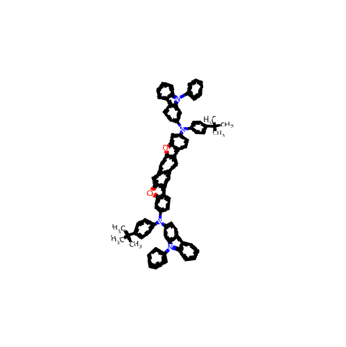 CC(C)(C)c1ccc(N(c2ccc3c(c2)oc2cc4cc5oc6cc(N(c7ccc(C(C)(C)C)cc7)c7ccc8c9ccccc9n(-c9ccccc9)c8c7)ccc6c5cc4cc23)c2ccc3c4ccccc4n(-c4ccccc4)c3c2)cc1